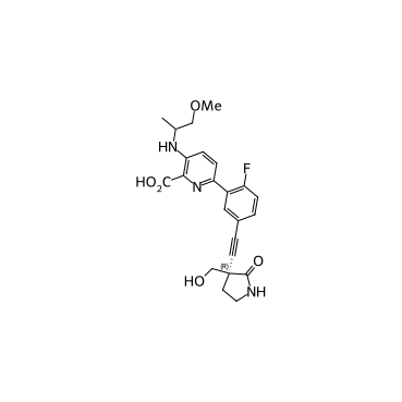 COCC(C)Nc1ccc(-c2cc(C#C[C@@]3(CO)CCNC3=O)ccc2F)nc1C(=O)O